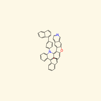 c1ccc(N(c2ccc(-c3cccc4ccccc34)cc2)c2cccc3oc4cc5cnccc5cc4c23)c(-c2cccc3ccccc23)c1